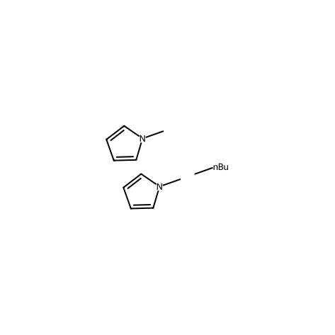 CCCCC.Cn1cccc1.Cn1cccc1